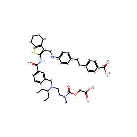 CCC(CC)N(CCN(C)C(=O)OCC(=O)O)Cc1cccc(C(=O)Nc2sc3c(c2CNc2ccc(CCc4ccc(C(=O)O)cc4)cc2)CCCC3)c1